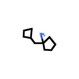 NC1(CC2CCC2)CCCC1